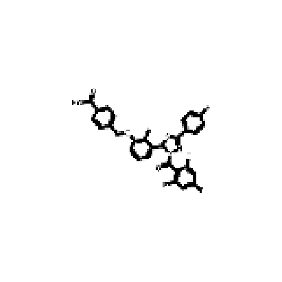 Cc1c(OCc2ccc(C(=O)O)cc2)cccc1C1SC(c2ccc(F)cc2)=NN1C(=O)c1c(F)cc(F)cc1F